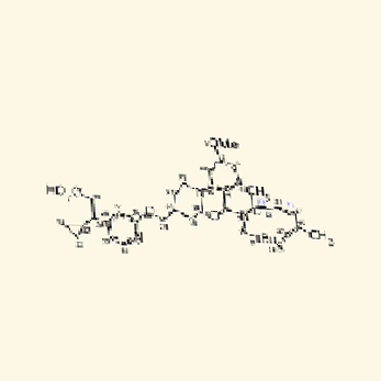 COc1ccc(C(=O)N(CC(C)(C)C)/C(C)=C/C=C\C(C)=C=S)c(N2CCC(COc3cc(C(CC(=O)O)C4CC4)ccn3)CC2)c1